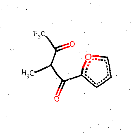 CC(C(=O)c1ccco1)C(=O)C(F)(F)F